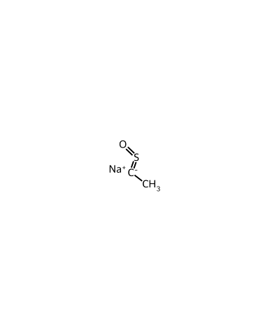 C[C-]=S=O.[Na+]